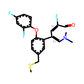 CSCc1ccc(Oc2ccc(F)cc2F)c(C(/C=C(/F)C=O)=C/N(C)C)c1